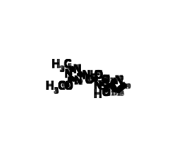 COc1nc(C)nc(NOC(=O)NS(=O)(=O)c2cccnc2)n1